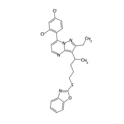 CCc1nn2c(-c3ccc(Cl)cc3Cl)ccnc2c1C(C)CCCSc1nc2ccccc2o1